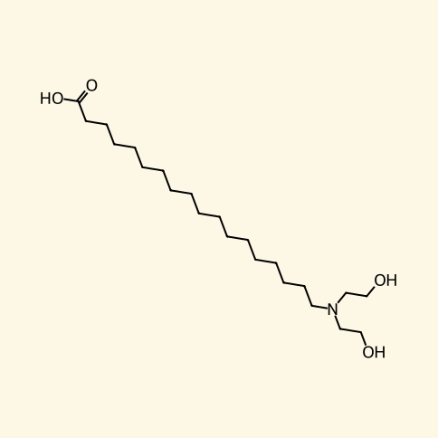 O=C(O)CCCCCCCCCCCCCCCCCN(CCO)CCO